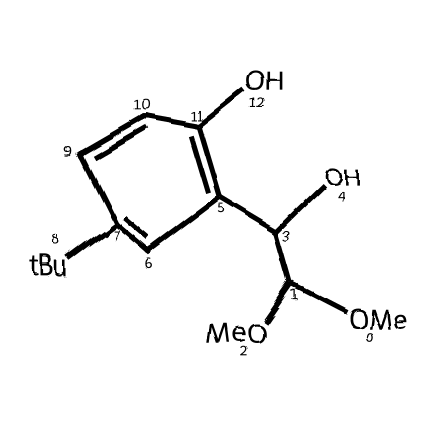 COC(OC)C(O)c1cc(C(C)(C)C)ccc1O